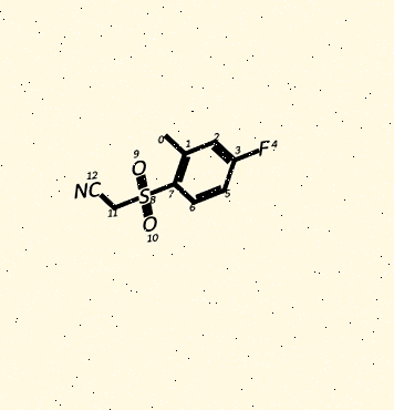 Cc1cc(F)ccc1S(=O)(=O)CC#N